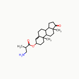 CC(CN)C(=O)OC1C=C2CCC3C4CCC(=O)C4(C)CCC3C2(C)CC1